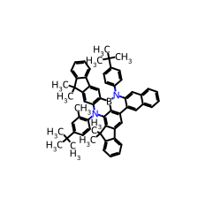 Cc1cc(C(C)(C)C)ccc1N1c2cc3c(cc2B2c4c(cc5c(c41)C(C)(C)c1ccccc1-5)-c1cc4ccccc4cc1N2c1ccc(C(C)(C)C)cc1)-c1ccccc1C3(C)C